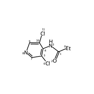 CCC(=O)Nc1c(Cl)cncc1Cl